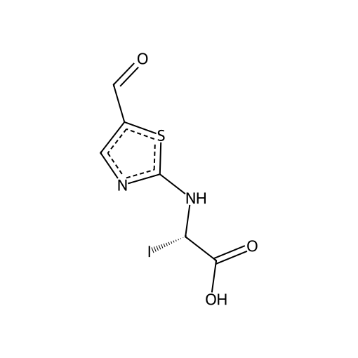 O=Cc1cnc(N[C@@H](I)C(=O)O)s1